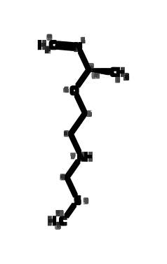 C=N[C@@H](C)OCCNCSC